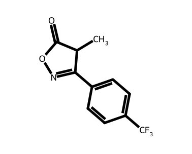 CC1C(=O)ON=C1c1ccc(C(F)(F)F)cc1